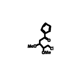 COC(CCl)C(CC(=O)c1ccccc1)OC